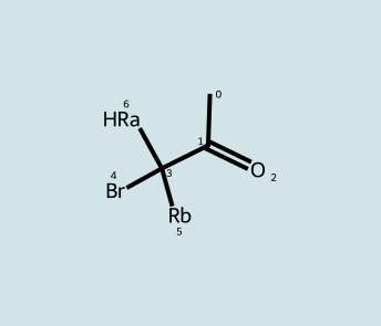 CC(=O)[C](Br)([Rb])[RaH]